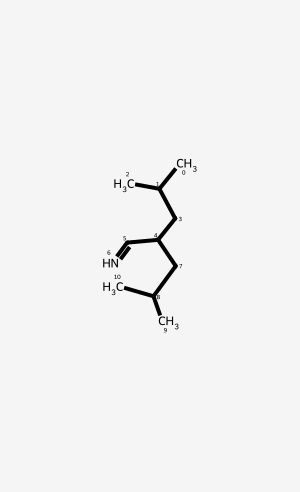 CC(C)CC(C=N)CC(C)C